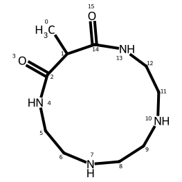 CC1C(=O)NCCNCCNCCNC1=O